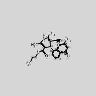 CCCOC(=O)C1=C(C)NC(C)=C(C#N)[C@H]1c1cccc2c(=O)cc(C)oc12